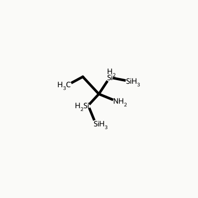 CCC(N)([SiH2][SiH3])[SiH2][SiH3]